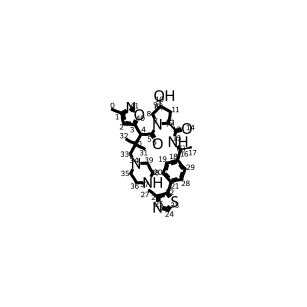 Cc1cc(C(C(=O)N2C[C@H](O)C[C@H]2C(=O)N[C@@H](C)c2ccc(-c3scnc3C)cc2)C(C)(C)CN2CCNCC2)on1